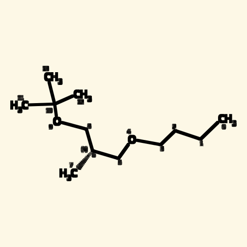 CCCCOC[C@H](C)COC(C)(C)C